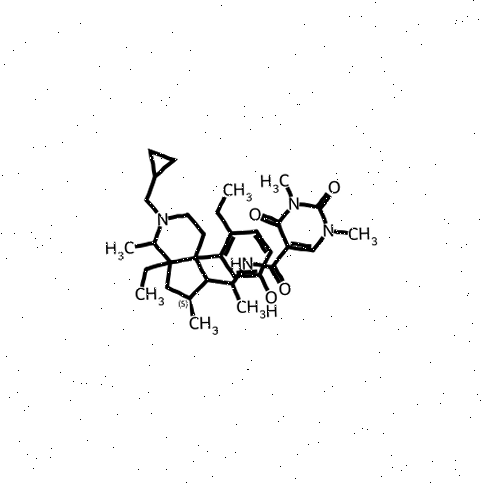 CCc1ccc(O)cc1C12CCN(CC3CC3)C(C)C1(CC)C[C@H](C)C2C(C)NC(=O)c1cn(C)c(=O)n(C)c1=O